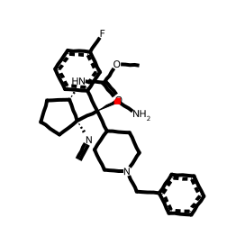 C=N[C@]1([C@](CN)(c2cccc(F)c2)C2CCN(Cc3ccccc3)CC2)CCC[C@@H]1NC(=O)OC